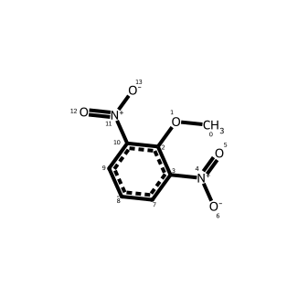 COc1c([N+](=O)[O-])c[c]cc1[N+](=O)[O-]